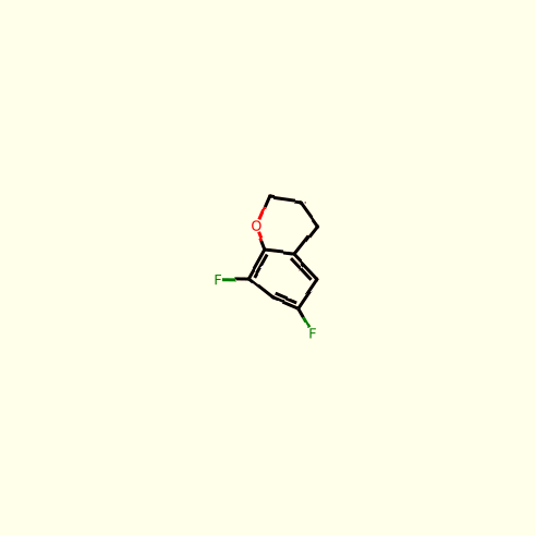 Fc1cc(F)c2c(c1)C[CH]CO2